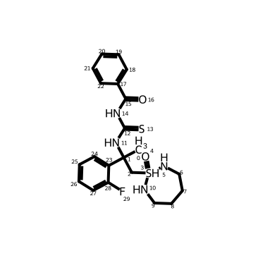 CC(C[SH]1(=O)NCCCCN1)(NC(=S)NC(=O)c1ccccc1)c1ccccc1F